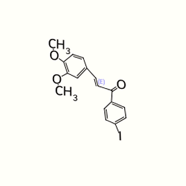 COc1ccc(/C=C/C(=O)c2ccc(I)cc2)cc1OC